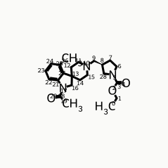 CCOC(=O)N1CC[C@H](CN2CCC3(CC2)CN(C(C)=O)c2cccc(C)c23)C1